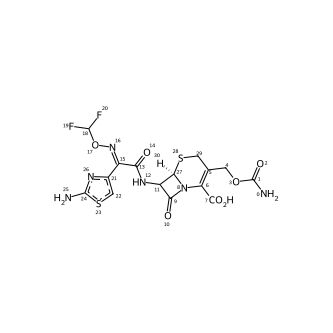 NC(=O)OCC1=C(C(=O)O)N2C(=O)C(NC(=O)/C(=N/OC(F)F)c3csc(N)n3)[C@H]2SC1